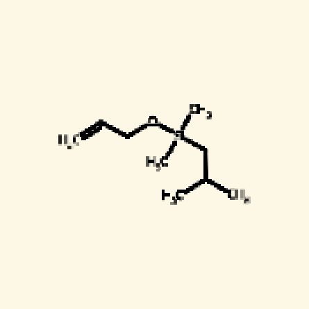 C=CCO[Si](C)(C)CC(C)C